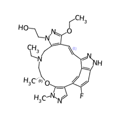 CCOc1nn(CCO)c2c1/C=C/c1n[nH]c3cc(F)c(cc13)-c1cnn(C)c1O[C@H](C)CN(CC)C2